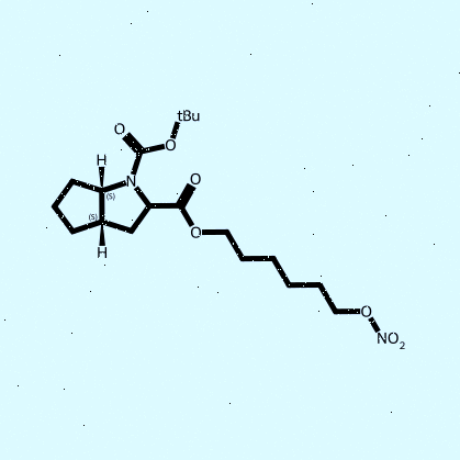 CC(C)(C)OC(=O)N1C(C(=O)OCCCCCCO[N+](=O)[O-])C[C@@H]2CCC[C@@H]21